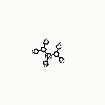 C=N/C=C\C(=C/C)c1cc(-c2ccncc2)cc(-c2cc(-c3cc(-c4ccncc4)cc(-c4ccncc4)c3)nc(-c3ccncc3)n2)c1